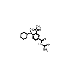 CS(=O)(=O)c1cc(C(=O)NC(=N)N)ccc1[S+]([O-])C1CCCCC1